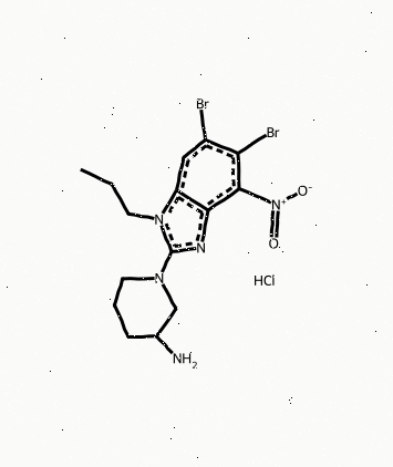 CCCn1c(N2CCCC(N)C2)nc2c([N+](=O)[O-])c(Br)c(Br)cc21.Cl